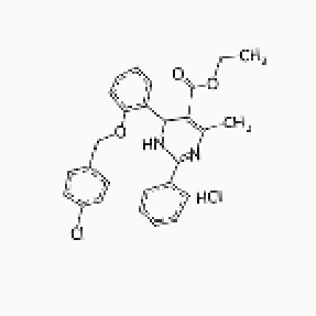 CCOC(=O)C1=C(C)N=C(c2ccccc2)NC1c1ccccc1OCc1ccc(Cl)cc1.Cl